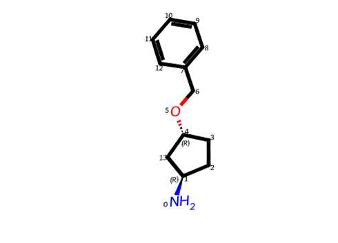 N[C@@H]1CC[C@@H](OCc2ccccc2)C1